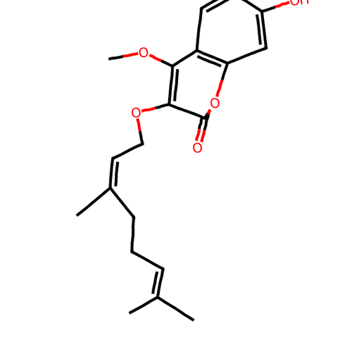 COc1c(OCC=C(C)CCC=C(C)C)c(=O)oc2cc(O)ccc12